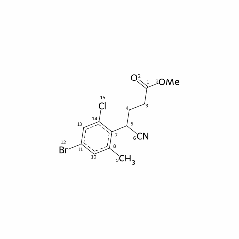 COC(=O)CCC(C#N)c1c(C)cc(Br)cc1Cl